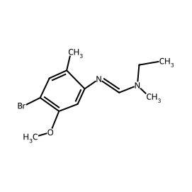 CCN(C)C=Nc1cc(OC)c(Br)cc1C